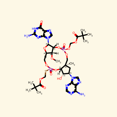 CO[C@H]1[C@H]2O[P@@](=O)(OCOC(=O)C(C)(C)C)OC[C@@]3(C)C[C@@H](n4cnc5c(N)ncnc54)[C@H](O)[C@@H]3O[P@@](=O)(SCOC(=O)C(C)(C)C)OC[C@H]1O[C@H]2n1cnc2c(=O)[nH]c(N)nc21